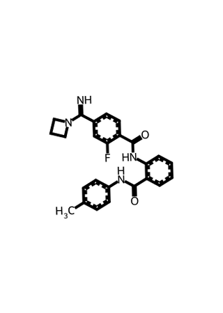 Cc1ccc(NC(=O)c2ccccc2NC(=O)c2ccc(C(=N)N3CCC3)cc2F)cc1